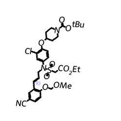 CCOC(=O)CS(=O)(=O)N(C/C=C/c1cc(C#N)ccc1OCOC)c1ccc(OC2CCN(C(=O)OC(C)(C)C)CC2)c(Cl)c1